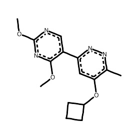 COc1ncc(-c2cc(OC3CCC3)c(C)nn2)c(OC)n1